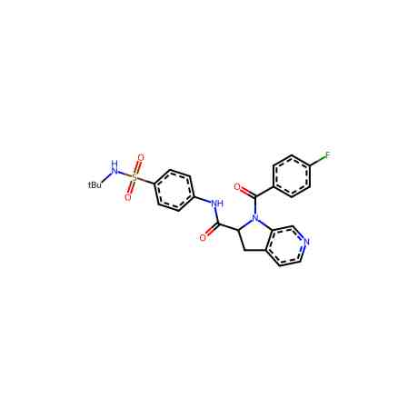 CC(C)(C)NS(=O)(=O)c1ccc(NC(=O)C2Cc3ccncc3N2C(=O)c2ccc(F)cc2)cc1